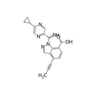 CC#Cc1ccc(C(=O)O)c2c1cnn2C(=N)c1cnc(C2CC2)cn1